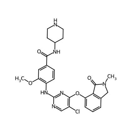 COc1cc(C(=O)NC2CCNCC2)ccc1Nc1ncc(Cl)c(Oc2cccc3c2C(=O)N(C)C3)n1